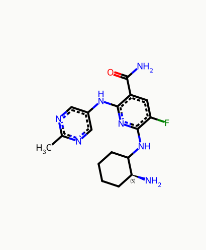 Cc1ncc(Nc2nc(NC3CCCC[C@@H]3N)c(F)cc2C(N)=O)cn1